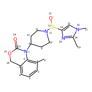 Cc1cccc2c1N(C1CCN([S+]([O-])c3cn(C)c(C)n3)CC1)C(=O)OC2